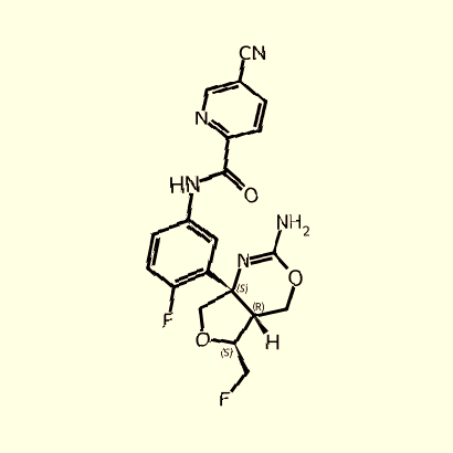 N#Cc1ccc(C(=O)Nc2ccc(F)c([C@]34CO[C@H](CF)[C@H]3COC(N)=N4)c2)nc1